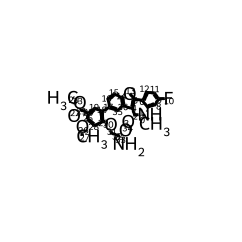 CNC(=O)c1c(-c2ccc(F)cc2)oc2ccc(-c3cc(C(=O)OC)c(OC)cc3OCC(N)=O)cc12